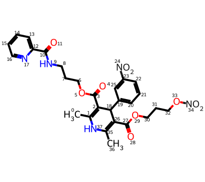 CC1=C(C(=O)OCCCNC(=O)c2ccccn2)C(c2cccc([N+](=O)[O-])c2)C(C(=O)OCCCO[N+](=O)[O-])=C(C)N1